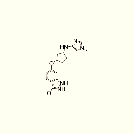 Cn1cnc(NC2CCC(Oc3ccc4c(=O)[nH][nH]c4c3)C2)c1